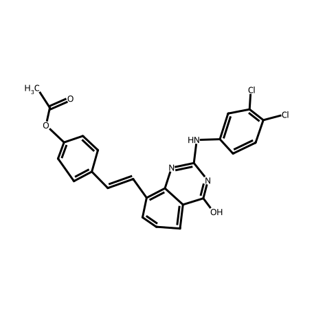 CC(=O)Oc1ccc(C=Cc2cccc3c(O)nc(Nc4ccc(Cl)c(Cl)c4)nc23)cc1